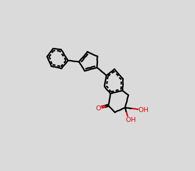 O=C1CC(O)(O)Cc2ccc(C3=CC(c4ccccc4)=CC3)cc21